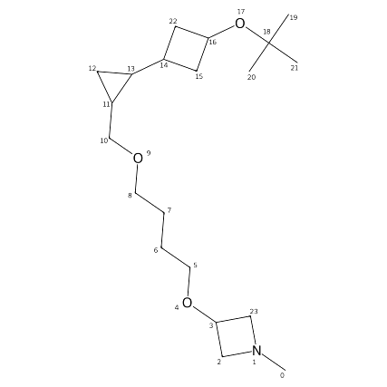 CN1CC(OCCCCOCC2CC2C2CC(OC(C)(C)C)C2)C1